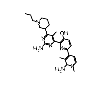 CCCN1CCCC(c2nc(N)nc(-c3nc(C4=C(C)C(N)N(C)C=C4)ccc3O)c2C)C1